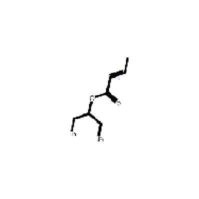 C/C=C/C(=O)OC(CC(C)C)CC(C)C